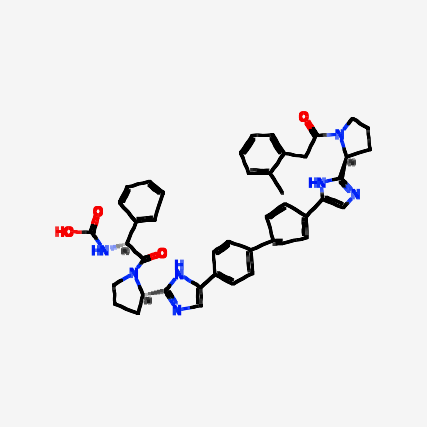 Cc1ccccc1CC(=O)N1CCC[C@H]1c1ncc(-c2ccc(-c3ccc(-c4cnc([C@@H]5CCCN5C(=O)[C@H](NC(=O)O)c5ccccc5)[nH]4)cc3)cc2)[nH]1